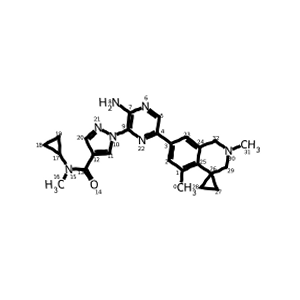 Cc1cc(-c2cnc(N)c(-n3cc(C(=O)N(C)C4CC4)cn3)n2)cc2c1C1(CC1)CN(C)C2